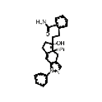 CCCC12Cc3cnn(-c4ccccc4)c3C=C1CC[C@@]2(O)CCc1ccccc1C(N)=O